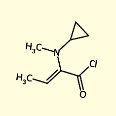 C/C=C(/C(=O)Cl)N(C)C1CC1